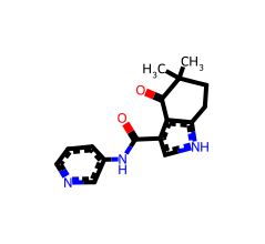 CC1(C)CCc2[nH]cc(C(=O)Nc3cccnc3)c2C1=O